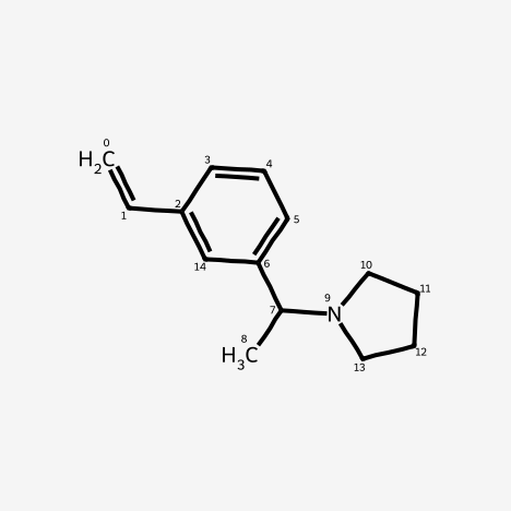 C=Cc1cccc(C(C)N2CCCC2)c1